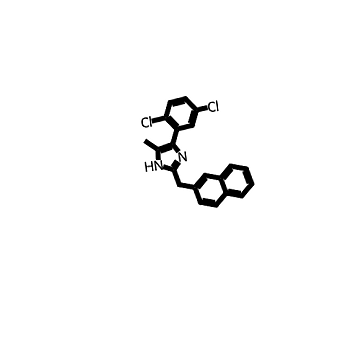 Cc1[nH]c(Cc2ccc3ccccc3c2)nc1-c1cc(Cl)ccc1Cl